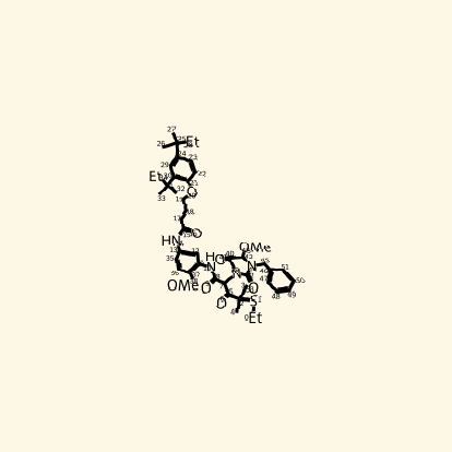 CCSC(C)(C)C(=O)C(C(=O)Nc1cc(NC(=O)CCCOc2ccc(C(C)(C)CC)cc2C(C)(C)CC)ccc1OC)N1C(=O)C(OC)N(Cc2ccccc2)C1=O